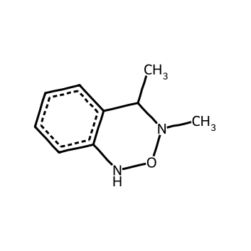 CC1c2ccccc2NON1C